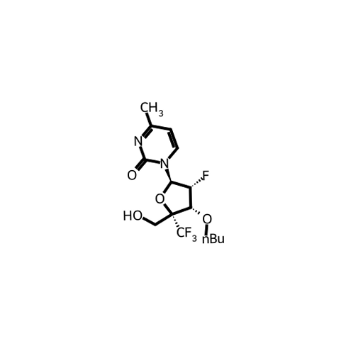 CCCCO[C@H]1[C@@H](F)[C@H](n2ccc(C)nc2=O)O[C@@]1(CO)C(F)(F)F